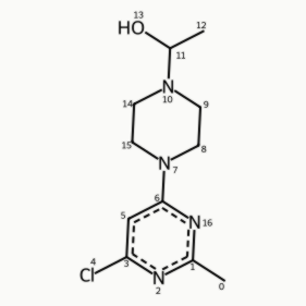 Cc1nc(Cl)cc(N2CCN(C(C)O)CC2)n1